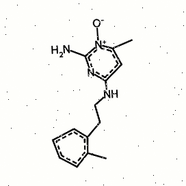 Cc1ccccc1CCNc1cc(C)[n+]([O-])c(N)n1